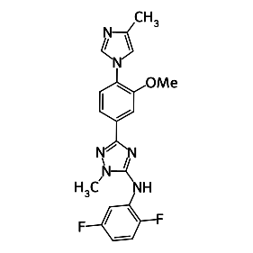 COc1cc(-c2nc(Nc3cc(F)ccc3F)n(C)n2)ccc1-n1cnc(C)c1